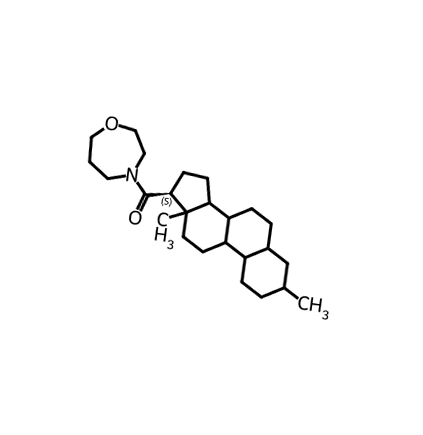 CC1CCC2C(CCC3C2CCC2(C)C3CC[C@@H]2C(=O)N2CCCOCC2)C1